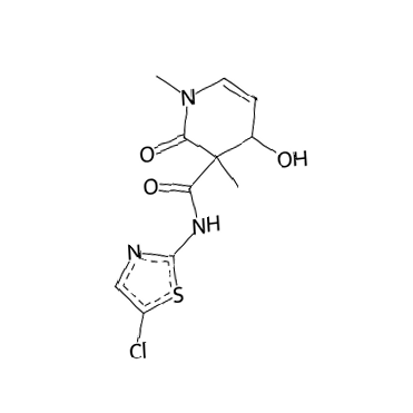 CN1C=CC(O)C(C)(C(=O)Nc2ncc(Cl)s2)C1=O